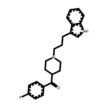 O=C(c1ccc(F)cc1)C1CCN(CCCc2c[nH]c3ccccc23)CC1